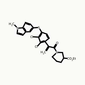 C=C(C(=O)N1CCCC(C(=O)OCC)C1)c1ccc(Sc2ccc3c(ccn3C)c2)c(Cl)c1Cl